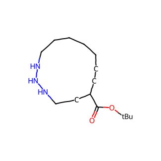 CC(C)(C)OC(=O)C1CCCCCCCNNNCC1